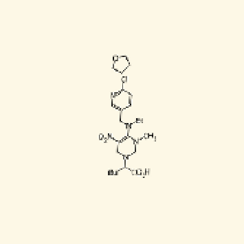 C1CCOC1.CCC(C)C(C(=O)O)N1CC([N+](=O)[O-])=C(N(CC)Cc2ccc(Cl)nc2)N(C)C1